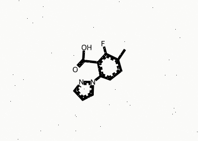 Cc1ccc(-n2cccn2)c(C(=O)O)c1F